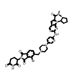 CN(C)C(=O)c1cc2cnc(Nc3ccc(N4CCN(Cc5ccc6c(c5Br)C(=O)N(C5CCC(=O)NC5=O)C6=O)CC4)cn3)nc2n1C1CCCC1